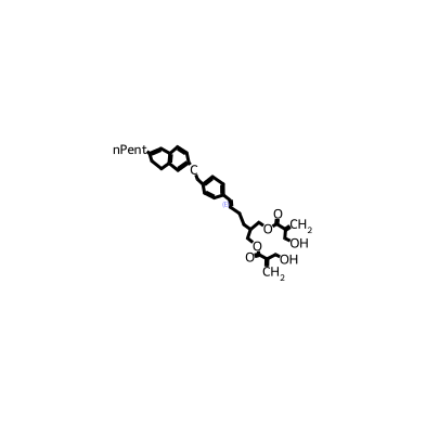 C=C(CO)C(=O)OCC(CC/C=C/c1ccc(CCc2ccc3c(c2)CCC(CCCCC)=C3)cc1)COC(=O)C(=C)CO